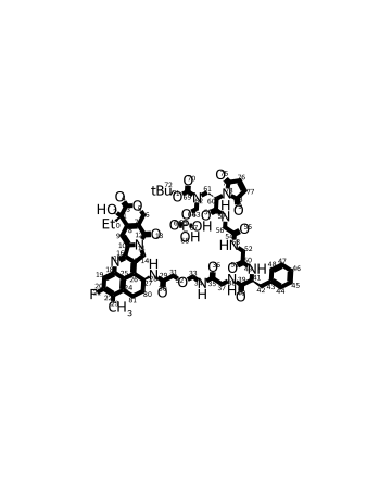 CC[C@@]1(O)C(=O)OCc2c1cc1n(c2=O)Cc2c-1nc1cc(F)c(C)c3c1c2[C@@H](NC(=O)COCNC(=O)CNC(=O)[C@H](Cc1ccccc1)NC(=O)CNC(=O)CNC(=O)[C@H](CN(COP(=O)(O)O)C(=O)OC(C)(C)C)N1C(=O)C=CC1=O)CC3